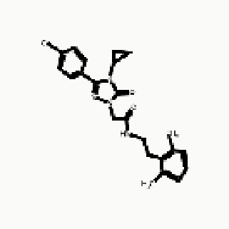 Cc1cccc(C)c1CCNC(=O)Cn1nc(-c2ccc(Cl)cc2)n(C2CC2)c1=O